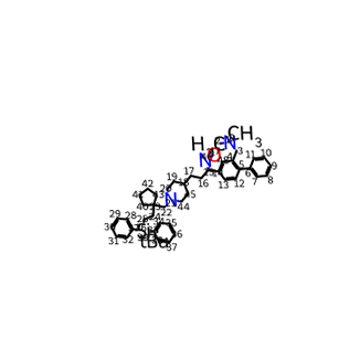 CN(C)Cc1c(-c2ccccc2)ccc2c(CCC3CCN(CC4(CC[Si](c5ccccc5)(c5ccccc5)C(C)(C)C)CCCC4)CC3)noc12